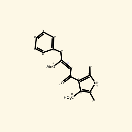 CO/C(=C\C(=O)c1c(C)[nH]c(C)c1C(=O)O)Cc1ccccc1